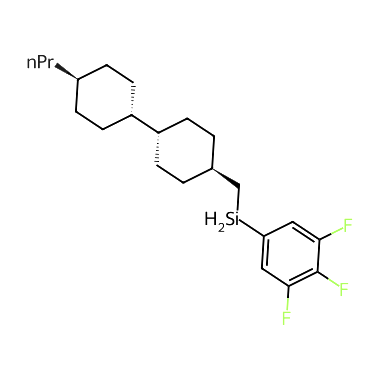 CCC[C@H]1CC[C@H]([C@H]2CC[C@H](C[SiH2]c3cc(F)c(F)c(F)c3)CC2)CC1